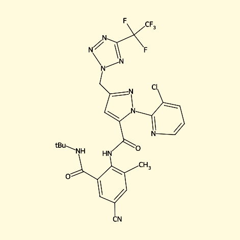 Cc1cc(C#N)cc(C(=O)NC(C)(C)C)c1NC(=O)c1cc(Cn2nnc(C(F)(F)C(F)(F)F)n2)nn1-c1ncccc1Cl